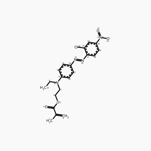 C=C(C)C(=O)OCCN(CC)c1ccc(/N=N/c2ccc([N+](=O)[O-])cc2Cl)cc1